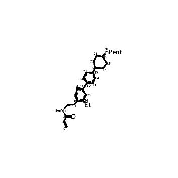 C=CC(=O)N(C)CCc1ccc(-c2ccc(C3CCC(CCCCC)CC3)cc2)cc1CC